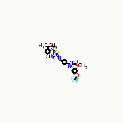 COC(=O)c1nc(-c2ccc(/C=N/NC(=S)/N=C3\SCC(=O)N3c3cc(C)ccc3C(C)C)cc2)nn1-c1ccc(OC(F)(F)C(F)(F)F)cc1